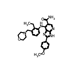 CCc1c(CN2CCOCC2)cccc1Nc1c(C(N)=O)cnc2[nH]c(-c3ccc(OC)cc3)nc12